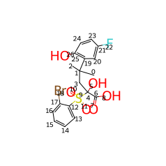 CC(C)(CC(O)(C(=O)O)S(=O)(=O)c1ccccc1Br)c1cc(F)ccc1O